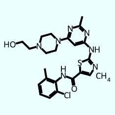 C.Cc1nc(Nc2ncc(C(=O)Nc3c(C)cccc3Cl)s2)cc(N2CCN(CCO)CC2)n1